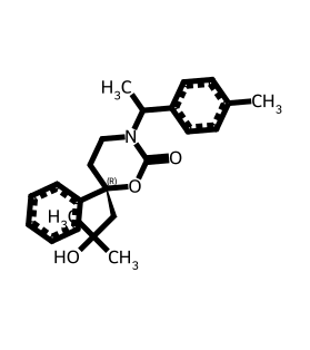 Cc1ccc(C(C)N2CC[C@@](CC(C)(C)O)(c3ccccc3)OC2=O)cc1